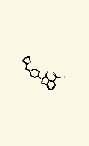 NC(=O)c1cccc2[nH]n(C3CCN(Cc4ccco4)CC3)c(=O)c12